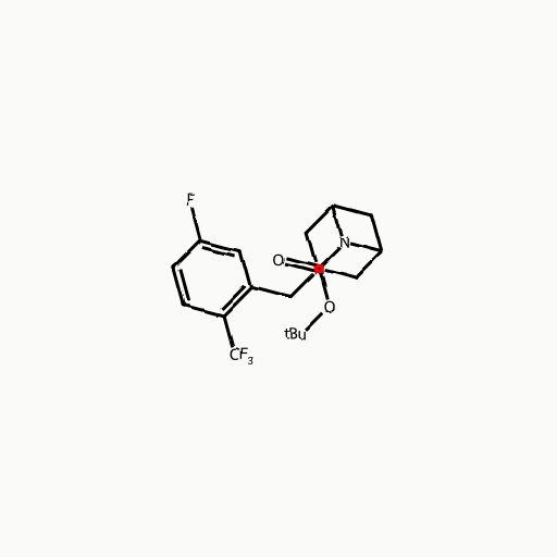 CC(C)(C)OC(=O)N1C2CC1CN(Cc1cc(F)ccc1C(F)(F)F)C2